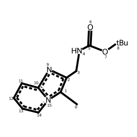 Cc1c(CNC(=O)OC(C)(C)C)nc2ccccn12